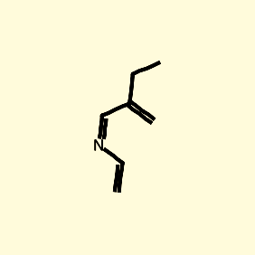 C=C/N=C\C(=C)CC